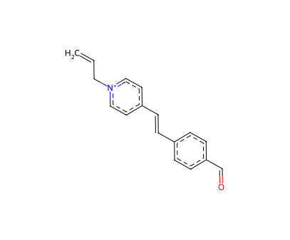 C=CC[n+]1ccc(C=Cc2ccc(C=O)cc2)cc1